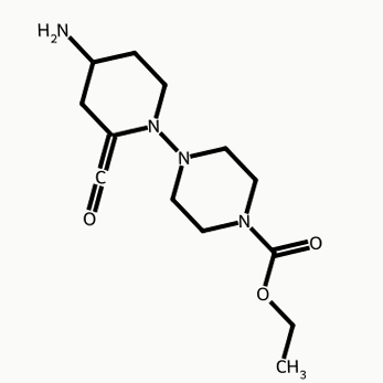 CCOC(=O)N1CCN(N2CCC(N)CC2=C=O)CC1